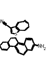 N#Cc1csc2c1CC=CC=C2.Nc1ccc2c3c(ccc2c1)C1=C(CCC=C1)CC3